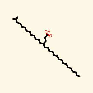 CCCCCCCCCCCCCCCCC(CCCCCCCCCCCC(C)C)CCC(=O)O